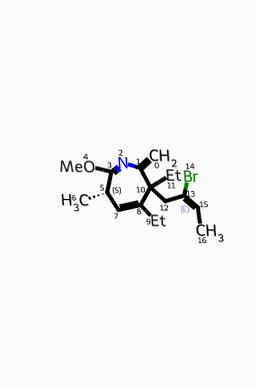 C=C1N=C(OC)[C@@H](C)C=C(CC)C1(CC)C/C(Br)=C\C